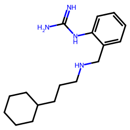 N=C(N)Nc1ccccc1CNCCCC1CCCCC1